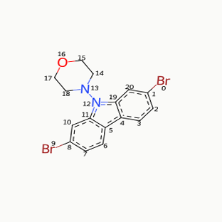 Brc1ccc2c3ccc(Br)cc3n(N3CCOCC3)c2c1